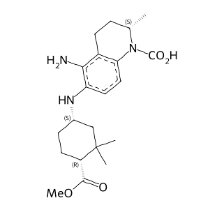 COC(=O)[C@@H]1CC[C@H](Nc2ccc3c(c2N)CC[C@H](C)N3C(=O)O)CC1(C)C